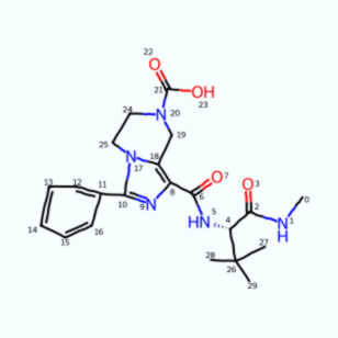 CNC(=O)[C@@H](NC(=O)c1nc(-c2ccccc2)n2c1CN(C(=O)O)CC2)C(C)(C)C